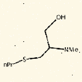 CCCSCC(CO)NC